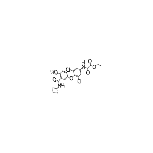 CCOC(=O)C(=O)Nc1cc(Cl)c(Oc2ccc(O)c(C(=O)NC3CCC3)c2)c(Cl)c1